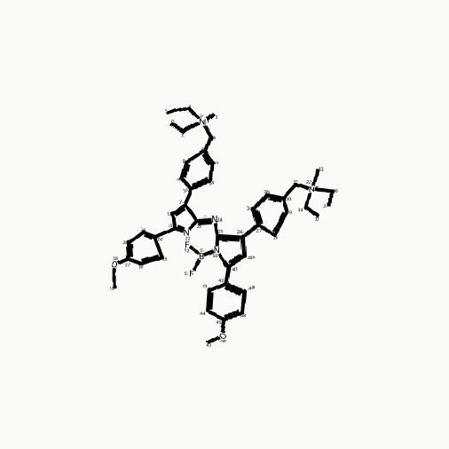 CC[N+](C)(CC)Cc1ccc(C2=CC(c3ccc(OC)cc3)=N/C2=N\c2c(-c3ccc(C[N+](C)(CC)CC)cc3)cc(-c3ccc(OC)cc3)n2B(F)F)cc1